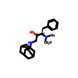 CC(C)(C)N(C(=O)O)[C@@H](Cc1ccccc1)[C@H](O)CNC12CC3CC(CC(C3)C1)C2